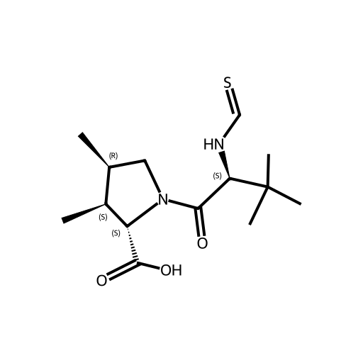 C[C@@H]1[C@@H](C(=O)O)N(C(=O)[C@@H](NC=S)C(C)(C)C)C[C@@H]1C